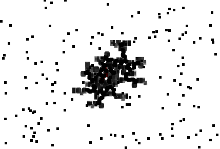 CC(=O)N[C@@H](CCC(N)=O)C(=O)N[C@@H](CCC(N)=O)C(=O)N[C@@H](CCCNC(=N)N)C(=O)N[C@@H](CCC(N)=O)C(=O)N[C@@H](CCC(=O)O)C(=O)N[C@@H](CCC(N)=O)C(=O)N[C@@H](CCC(=O)O)C(=O)N[C@@H](CCC(N)=O)C(=O)N[C@@H](CCC(=O)O)C(=O)N[C@@H](CCC(N)=O)C(=O)N[C@@H](CCC(N)=O)C(N)=O